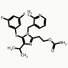 Cc1ncccc1Cn1c(CCOC(N)=O)nc(C(C)C)c1Sc1cc(F)cc(F)c1